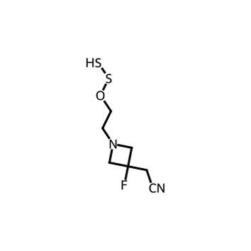 N#CCC1(F)CN(CCOSS)C1